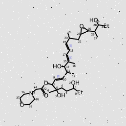 CCC(O)CCC(C)(O)C(/C=C/C(C)C(O)/C(C)=C/C=C/C(C)CC1OC1C(C)C(O)CC)OC(=O)CN1CCOCC1